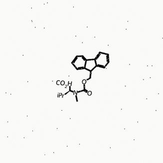 CC(C)[C@@H](C(=O)O)N(C)C(=O)OCC1c2ccccc2-c2ccccc21